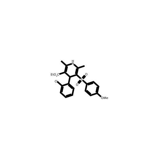 CCOC(=O)C1=C(C)NC(C)=C(S(=O)(=O)c2ccc(OC)cc2)C1c1ccccc1Cl